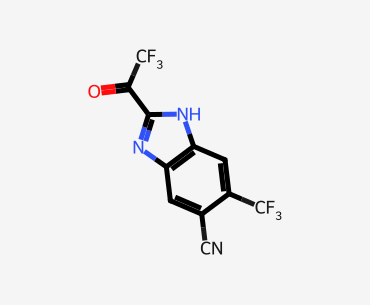 N#Cc1cc2nc(C(=O)C(F)(F)F)[nH]c2cc1C(F)(F)F